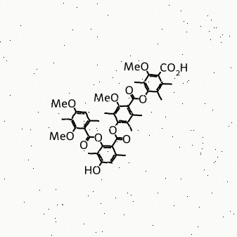 COc1[c]c(C)c(C(=O)Oc2c(C)c(O)cc(C)c2C(=O)Oc2c(C)c(C)c(C(=O)Oc3c(C)c(C)c(C(=O)O)c(OC)c3C)c(OC)c2C)c(OC)c1C